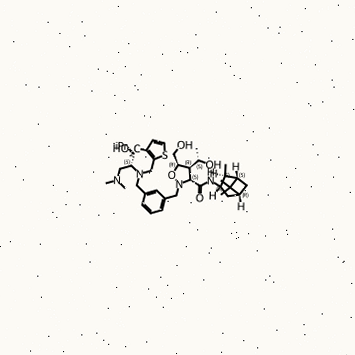 CC(C)C[C@@H](CN(C)C)N(Cc1cccc(CN2O[C@@H](CO)[C@@H]([C@H](C)O)[C@H]2C(=O)N[C@H]2C[C@H]3C[C@@H]([C@@H]2C)C3(C)C)c1)Cc1sccc1C(=O)O